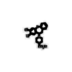 CCOC(=O)N1CCN(C2Cc3ccccc3Sc3cc(Cl)c(Cl)cc32)CC1